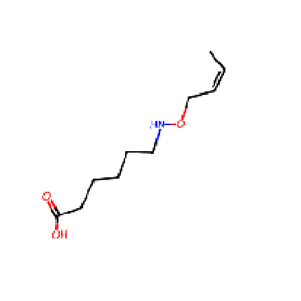 C/C=C\CONCCCCCC(=O)O